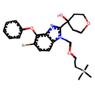 C[Si](C)(C)CCOCn1c(C2(O)CCOCC2)nc2c(Oc3ccccc3)c(Br)ccc21